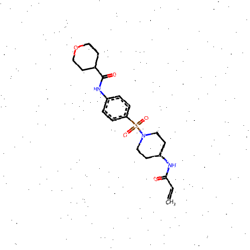 C=CC(=O)NC1CCN(S(=O)(=O)c2ccc(NC(=O)C3CCOCC3)cc2)CC1